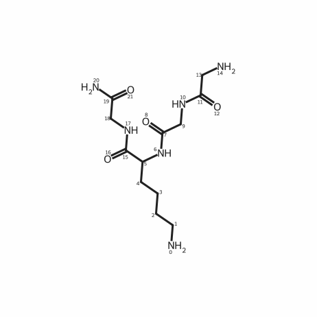 NCCCCC(NC(=O)CNC(=O)CN)C(=O)NCC(N)=O